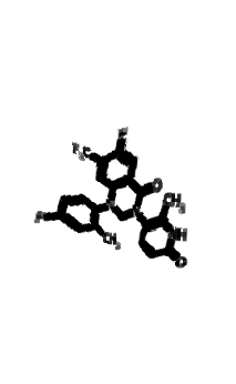 Cc1cc(F)ccc1N1CN(c2ccc(=O)[nH]c2C)C(=O)c2cc(F)c(C(F)(F)F)cc21